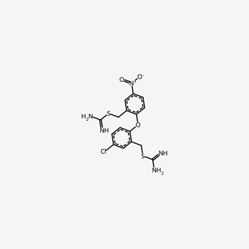 N=C(N)SCc1cc(Cl)ccc1Oc1ccc([N+](=O)[O-])cc1CSC(=N)N